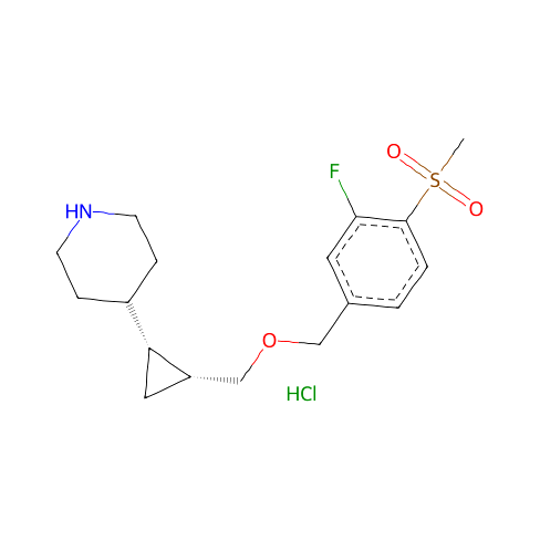 CS(=O)(=O)c1ccc(COC[C@@H]2C[C@@H]2C2CCNCC2)cc1F.Cl